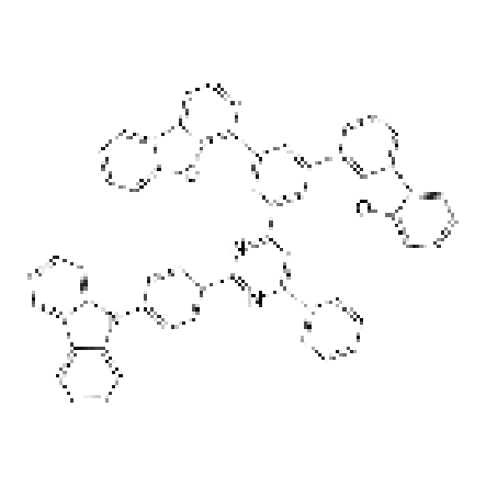 c1ccc(-c2cc(-c3cc(-c4cccc5c4oc4ccccc45)cc(-c4cccc5c4oc4ccccc45)c3)nc(-c3ccc(-n4c5ccccc5c5ccccc54)cc3)n2)cc1